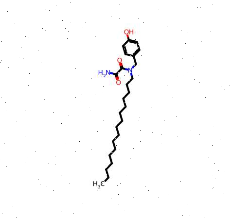 CCCCCCCCCCCCCCCCN(Cc1ccc(O)cc1)C(=O)C(N)=O